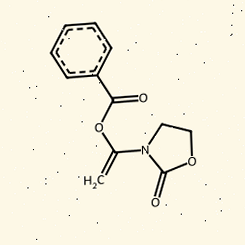 C=C(OC(=O)c1ccccc1)N1CCOC1=O